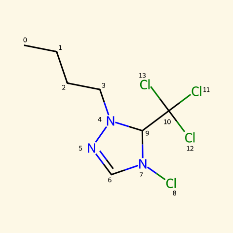 CCCCN1N=CN(Cl)C1C(Cl)(Cl)Cl